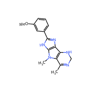 COc1cccc(-c2nc3c4c(n(C)c3[nH]2)C(C)=NCN4)c1